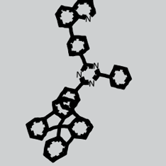 c1ccc(-c2nc(-c3ccc(-c4cccc5cccnc45)cc3)nc(-c3cccc(-c4cccc5c4C4(c6ccccc6-c6ccccc64)c4ccccc4-5)c3)n2)cc1